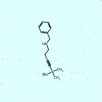 CC(C)(C)[Si](C)(C)C#CCCNCc1ccccc1